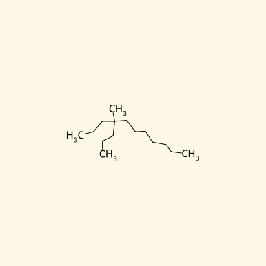 CCCCCCCC(C)(CCC)CCC